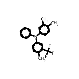 Cc1ccc(N(c2ccccc2)c2ccc(C)c(C(F)(F)F)c2)cc1C